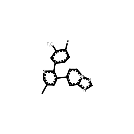 Cc1cnc(-c2ccc(F)c(C(F)(F)F)c2)c(-c2ccn3ncnc3c2)c1